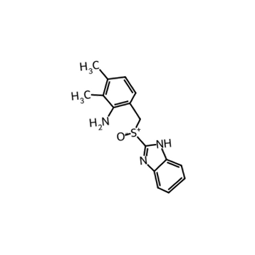 Cc1ccc(C[S+]([O-])c2nc3ccccc3[nH]2)c(N)c1C